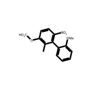 COc1ccccc1-c1c([N+](=O)[O-])ccc(OC(=O)O)c1C